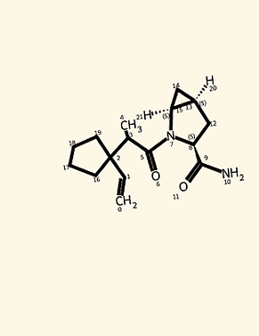 C=CC1(C(C)C(=O)N2[C@H](C(N)=O)C[C@@H]3C[C@@H]32)CCCC1